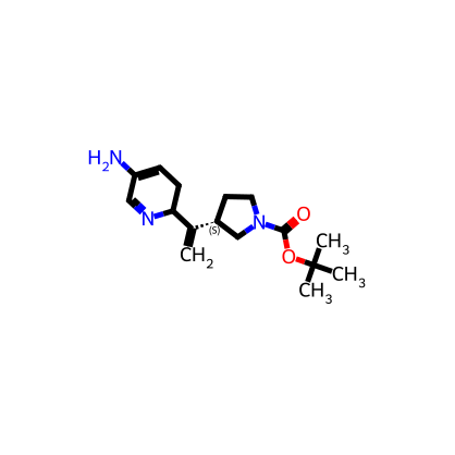 C=C(C1CC=C(N)C=N1)[C@@H]1CCN(C(=O)OC(C)(C)C)C1